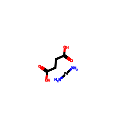 O=C(O)CCC(=O)O.[NH2][Pt][NH2]